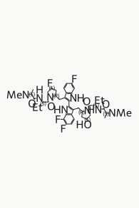 CC[C@H](NC(=O)[C@H](C)NC)C(=O)N1C[C@@H](O)C[C@H]1Cc1c(-c2[nH]c3cc(F)ccc3c2C[C@@H]2C[C@H](F)CN2C(=O)[C@H](CC)NC(=O)[C@H](C)NC)[nH]c2c(F)c(F)ccc12